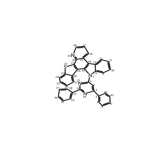 c1ccc(-c2cc(-n3c4ccccc4c4c5cccnc5c5sc6ccccc6c5c43)nc(-c3ccccc3)n2)cc1